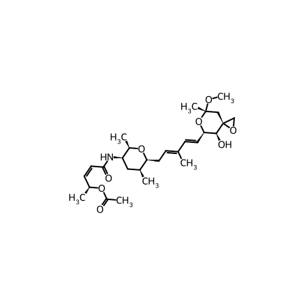 CO[C@]1(C)C[C@]2(CO2)[C@@H](O)[C@@H](/C=C/C(C)=C/C[C@@H]2O[C@H](C)[C@H](NC(=O)/C=C\[C@H](C)OC(C)=O)C[C@@H]2C)O1